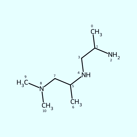 CC(N)CNC(C)CN(C)C